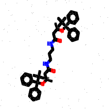 C[C@H](CC(=O)NCCCNC(=O)C[C@@H](C)O[Si](c1ccccc1)(c1ccccc1)C(C)(C)C)O[Si](c1ccccc1)(c1ccccc1)C(C)(C)C